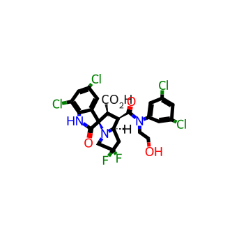 O=C(O)[C@H]1[C@@H](C(=O)N(CCO)c2cc(Cl)cc(Cl)c2)[C@H]2CC(F)(F)CN2[C@]12C(=O)Nc1c(Cl)cc(Cl)cc12